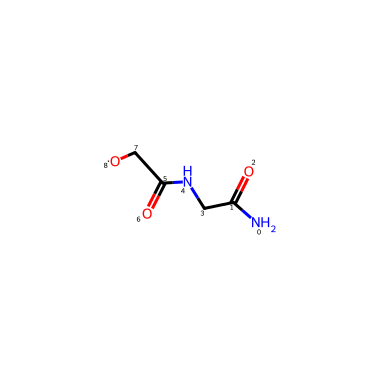 NC(=O)CNC(=O)C[O]